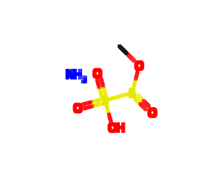 COS(=O)S(=O)(=O)O.N